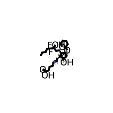 CCCCC(F)(F)C(O)CC[C@@H]1[C@@H](C/C=C/CCCC(=O)O)[C@@H](O)C[C@H]1OC1CCCCO1